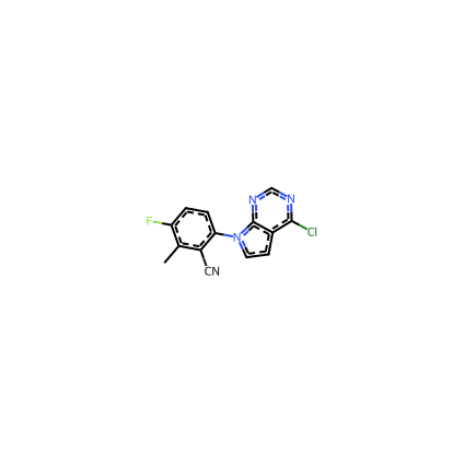 Cc1c(F)ccc(-n2ccc3c(Cl)ncnc32)c1C#N